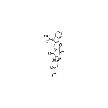 CCOC(=O)Cc1nc2c(c(=O)n(Cc3cc4ccccc4n3C(=O)O)c(=O)n2C)n1C